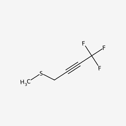 CSCC#CC(F)(F)F